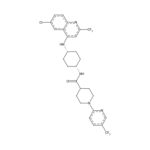 O=C(N[C@H]1CC[C@@H](Nc2cc(C(F)(F)F)nc3ccc(Cl)cc23)CC1)C1CCN(c2ccc(C(F)(F)F)cn2)CC1